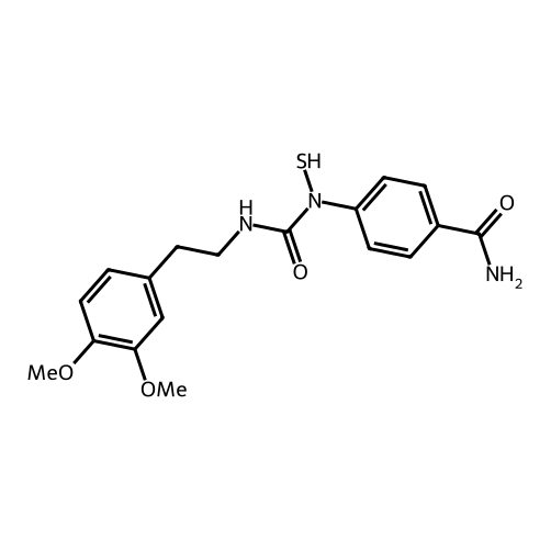 COc1ccc(CCNC(=O)N(S)c2ccc(C(N)=O)cc2)cc1OC